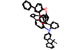 CC1(C)c2ccccc2-c2ccc(N(c3ccc4c(c3)C3(c5ccccc5Oc5ccc(-c6ccccc6)cc53)c3ccccc3-4)c3ccccc3-c3ccccc3)cc21